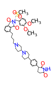 CCOc1cc([C@@H](CS(C)(=O)=O)N2C(=O)c3cccc(CCCCN4CCC(N5CCC(c6ccc(C7CCC(=O)NC7=O)cc6)CC5)CC4)c3C2=O)ccc1OC